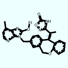 CCOc1nc2c(C)ccnc2n1Cc1ccc2c(c1)COc1ccccc1/C2=C(\C)c1noc(=O)[nH]1